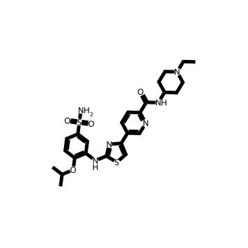 CCN1CCC(NC(=O)c2ccc(-c3csc(Nc4cc(S(N)(=O)=O)ccc4OC(C)C)n3)cn2)CC1